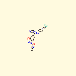 COc1cc(-c2nc([C@H]3CC[C@@H](N4CC(F)(F)C4)CC3)n3ccnc(C)c23)ccc1NC(=O)c1cc2ccccc2n1C